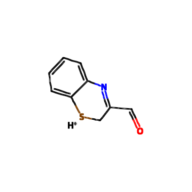 O=CC1=Nc2ccccc2SC1.[H+]